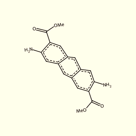 COC(=O)c1cc2cc3cc(N)c(C(=O)OC)cc3cc2cc1N